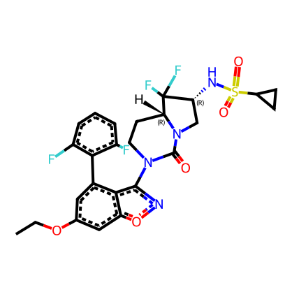 CCOc1cc(-c2c(F)cccc2F)c2c(N3CC[C@H]4N(C[C@@H](NS(=O)(=O)C5CC5)C4(F)F)C3=O)noc2c1